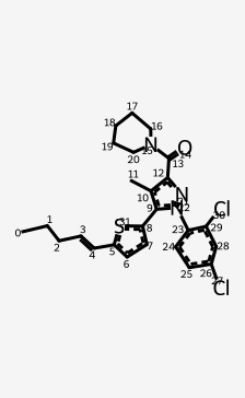 CCCC=Cc1ccc(-c2c(C)c(C(=O)N3CCCCC3)nn2-c2ccc(Cl)cc2Cl)s1